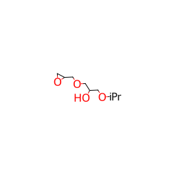 CC(C)OCC(O)COCC1CO1